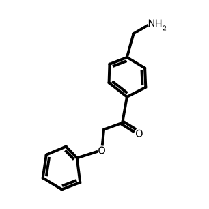 NCc1ccc(C(=O)COc2ccccc2)cc1